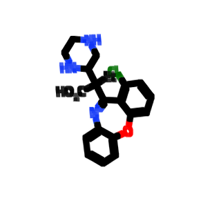 CCC(C(=O)O)(C1=Nc2ccccc2Oc2cccc(Cl)c21)C1CNCCN1